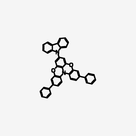 c1ccc(-c2ccc3c(c2)Oc2cc(-n4c5ccccc5c5ccccc54)cc4c2N3c2ccc(-c3ccccc3)cc2O4)cc1